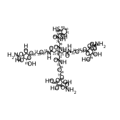 NC(=O)O[C@H]1[C@H](O)[C@@H](CO)OC(OCCCOCCNC(=O)CCC(CCC(=O)NCCOCCOC2O[C@H](CO)[C@@H](O)[C@H](OC(N)=O)[C@@H]2O)(CCC(=O)NCCOCCOC2O[C@H](CO)[C@@H](O)[C@H](OC(N)=O)[C@@H]2O)NC(=O)CCNC(=O)[C@H](CS)C2(S)CCCCC2)[C@H]1O